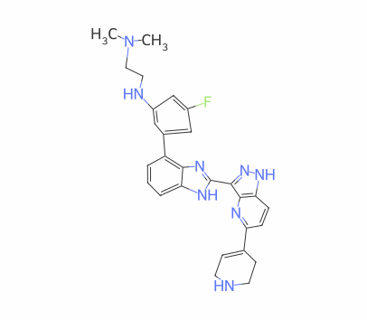 CN(C)CCNc1cc(F)cc(-c2cccc3[nH]c(-c4n[nH]c5ccc(C6=CCNCC6)nc45)nc23)c1